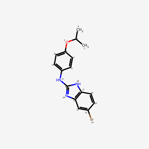 CC(C)Oc1ccc(Nc2nc3cc(Br)ccc3[nH]2)cc1